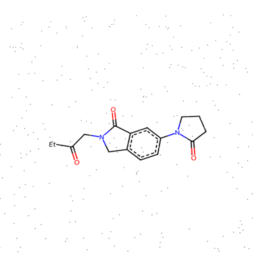 CCC(=O)CN1Cc2ccc(N3CCCC3=O)cc2C1=O